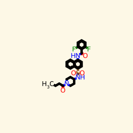 CCCC(=O)N1CCC(NS(=O)(=O)c2ccc(NC(=O)c3c(F)cccc3F)c3ccccc23)CC1